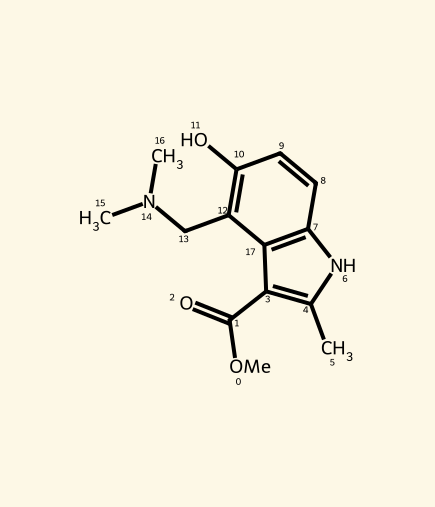 COC(=O)c1c(C)[nH]c2ccc(O)c(CN(C)C)c12